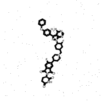 Nc1ncnc2c1c(-c1ccc(Oc3ccccc3)cc1)nn2C1CCC(CN2CCC(c3cc4c(cc3F)C(=O)N(C3CCC(=O)NC3=O)C4=O)CC2)CC1F